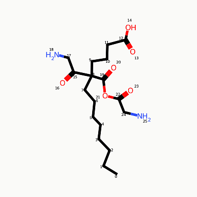 CCCCCCCCC(CCCC(=O)O)(C(=O)CN)C(=O)OC(=O)CN